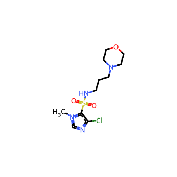 Cn1cnc(Cl)c1S(=O)(=O)NCCCN1CCOCC1